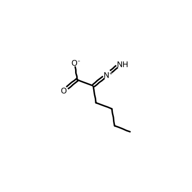 CCCCC(=[N+]=N)C(=O)[O-]